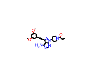 C=CC(=O)N1CCC(n2nc(C#Cc3cc(OC)cc(OC)c3)c3c(N)ncnc32)CC1